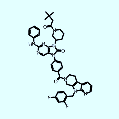 CC(C)(C)CC(=O)N1CCCC(n2c(=O)n(-c3ccc(C(=O)N4CCc5c(n(Cc6ccc(F)cc6F)c6ncccc56)C4)cc3)c3cnc(Nc4ccccc4)nc32)C1